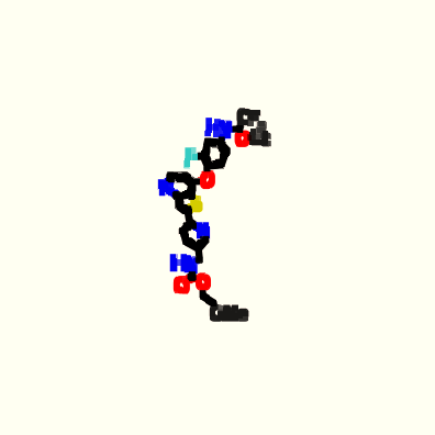 CCOC(Nc1ccc(Oc2ccnc3cc(-c4ccc(CNC(=O)OCCOC)cn4)sc23)c(F)c1)C(F)(F)F